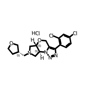 Cl.Clc1ccc(-c2nnn3c2CO[C@H]2CN(C[C@@H]4CCOC4)C[C@@H]23)c(Cl)c1